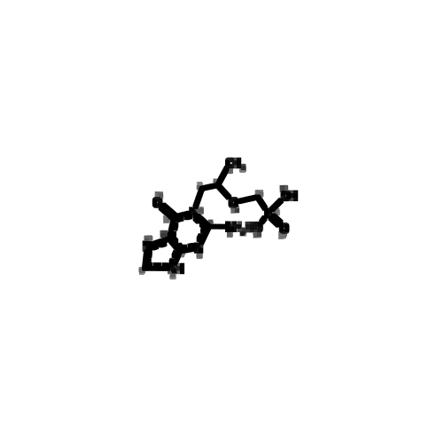 CC(Cn1c(N)nc2[nH]cnc2c1=O)OCP(=O)(O)O